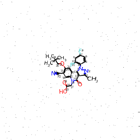 Cc1nn(-c2ccc(F)cc2F)cc1C(=O)N(CC(=O)O)c1ccc(OCC(C)(C)C)c(C#N)c1